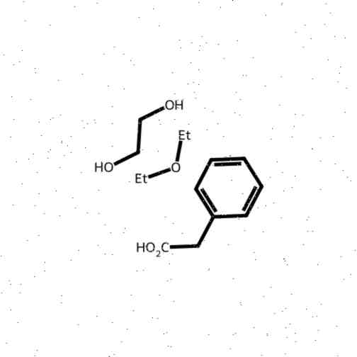 CCOCC.O=C(O)Cc1ccccc1.OCCO